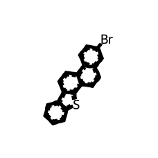 Brc1ccc2c(ccc3c2ccc2c4ccccc4sc23)c1